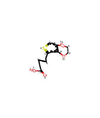 O=C(O)CCc1scc2c1OCCO2